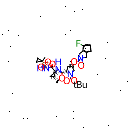 C=C[C@@H]1C[C@]1(NC(=O)[C@@H]1C[C@@H](OC(=O)N2Cc3cccc(F)c3C2)CN1C(=O)OC(C)(C)C)C(=O)NS(=O)(=O)C1(C)CC1